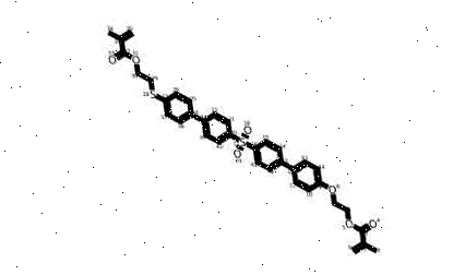 C=C(C)C(=O)OCCOc1ccc(-c2ccc(S(=O)(=O)c3ccc(-c4ccc(SCCOC(=O)C(=C)C)cc4)cc3)cc2)cc1